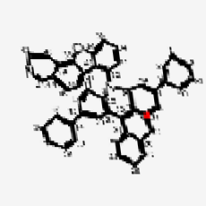 c1ccc(-c2cccc(N(c3ccc(-c4ccccc4)cc3-c3cccc4ccccc34)c3cccc4oc5c6ccncc6ccc5c34)c2)cc1